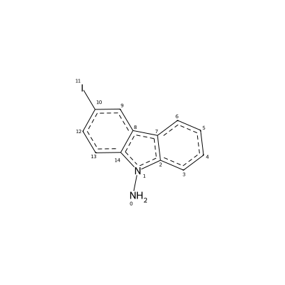 Nn1c2ccccc2c2cc(I)ccc21